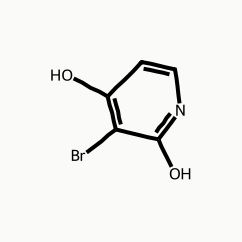 Oc1ccnc(O)c1Br